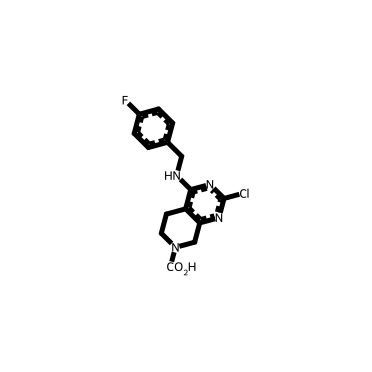 O=C(O)N1CCc2c(nc(Cl)nc2NCc2ccc(F)cc2)C1